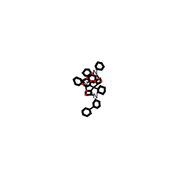 c1ccc(-c2cccc(N3c4ccccc4C4(c5ccccc5-c5c(N(c6ccccc6)c6ccccc6)cccc54)c4c(N(c5ccccc5)c5ccccc5)cccc43)c2)cc1